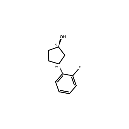 O[C@@H]1CC[C@@H](c2ccccc2F)C1